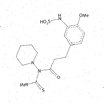 CNC(=S)N(C(=O)CCc1ccc(OC)c(NS(=O)(=O)O)c1)N1CCCCC1